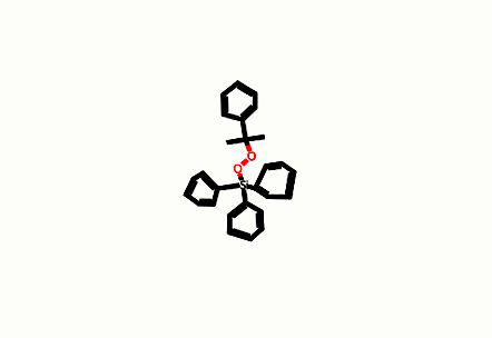 CC(C)(OO[Si](c1ccccc1)(c1ccccc1)c1ccccc1)c1ccccc1